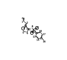 C=CC[C@@H]1OCC[C@H]1CS(=O)(=O)c1ccc(C)cc1